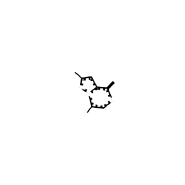 O=c1[nH]cc(Br)n2nc(C(F)(F)F)cc12